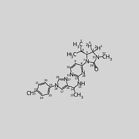 [2H]C1([2H])[C@H](C(C)C)N(c2ccnc(NC(C)c3cn(-c4ccc(Cl)cc4)cn3)n2)C(=O)N1C